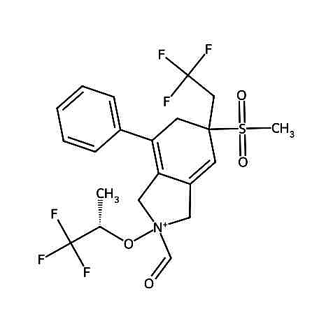 C[C@H](O[N+]1(C=O)CC2=CC(CC(F)(F)F)(S(C)(=O)=O)CC(c3ccccc3)=C2C1)C(F)(F)F